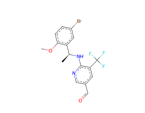 COc1ccc(Br)cc1[C@H](C)Nc1ncc(C=O)cc1C(F)(F)F